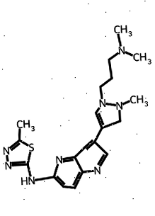 Cc1nnc(Nc2ccc3ncc(C4=CN(CCCN(C)C)N(C)C4)cc3n2)s1